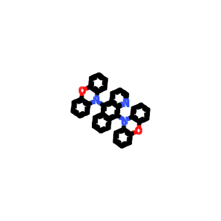 c1ccc2c(c1)Oc1ccccc1N2c1c2ccccc2c(N2c3ccccc3Oc3ccccc32)c2ncccc12